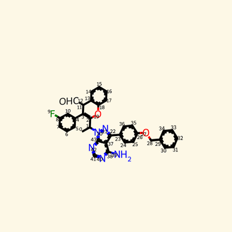 CC(C1=C(c2cccc(F)c2)C(C=O)c2ccccc2O1)n1nc(-c2ccc(OCc3ccccc3)cc2)c2c(N)ncnc21